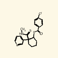 CNC(=S)C1(c2cccnc2)CCCCC1OC(=O)c1ccc(Cl)cc1